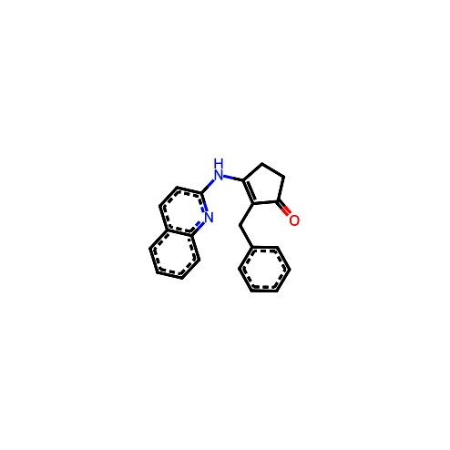 O=C1CCC(Nc2ccc3ccccc3n2)=C1Cc1ccccc1